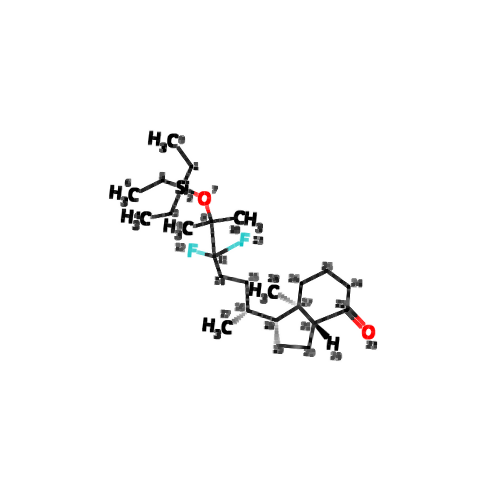 CC[Si](CC)(CC)OC(C)(C)C(F)(F)CC[C@@H](C)[C@H]1CC[C@H]2C(=O)CCC[C@]12C